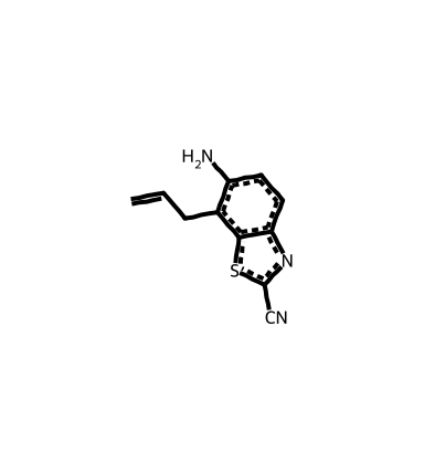 C=CCc1c(N)ccc2nc(C#N)sc12